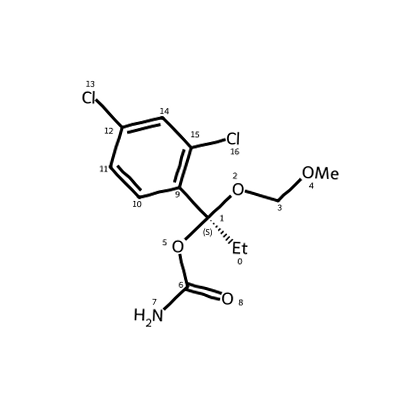 CC[C@](OCOC)(OC(N)=O)c1ccc(Cl)cc1Cl